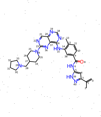 C=C(C)c1cc(NC(=O)c2ccc(C)c(Nc3ncnc4cnc(N5CCC(CN6CCCC6)CC5)nc34)c2)[nH]n1